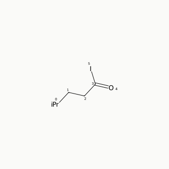 CC(C)CCC(=O)I